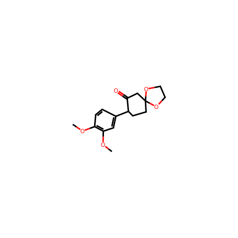 COc1ccc(C2CCC3(CC2=O)OCCO3)cc1OC